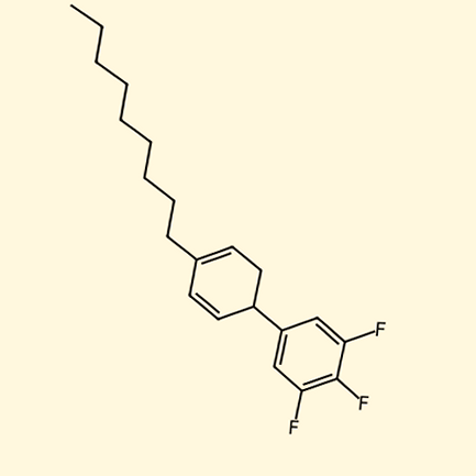 CCCCCCCCCC1=CCC(c2cc(F)c(F)c(F)c2)C=C1